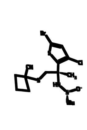 CC(C)(C)[S@@+]([O-])N[C@@](C)(CSC1(C#N)CCC1)c1sc(Br)cc1Cl